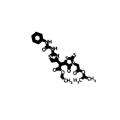 CCOC(=O)C(=C1SC(=S)N(CC(=O)OC(C)C)C1=O)c1csc(NC(=O)Nc2ccccc2)n1